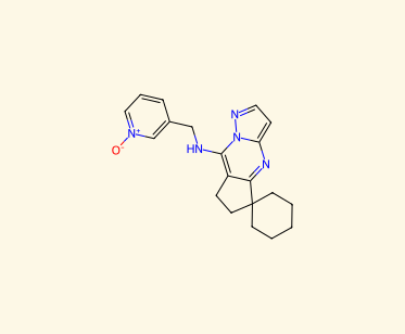 [O-][n+]1cccc(CNc2c3c(nc4ccnn24)C2(CCCCC2)CC3)c1